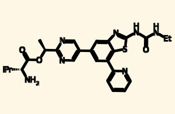 CCNC(=O)Nc1nc2cc(-c3cnc([C@H](C)OC(=O)[C@H](N)C(C)C)nc3)cc(-c3ccccn3)c2s1